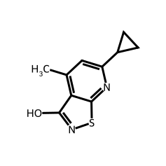 Cc1cc(C2CC2)nc2snc(O)c12